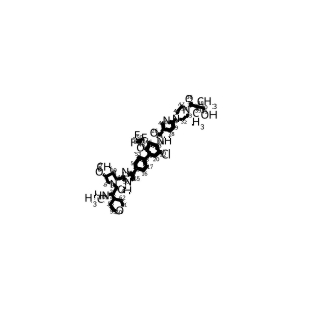 CNC(C(=O)N1CC(OC)CC1c1nc(-c2ccc(-c3cc(Cl)c(NC(=O)c4ccc(N5CCN(C(=O)C(C)(C)CO)CC5)nc4)cc3OC(F)(F)F)cc2)c[nH]1)C1CCOCC1